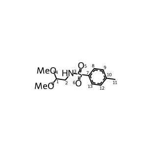 COC(CNS(=O)(=O)c1ccc(C)cc1)OC